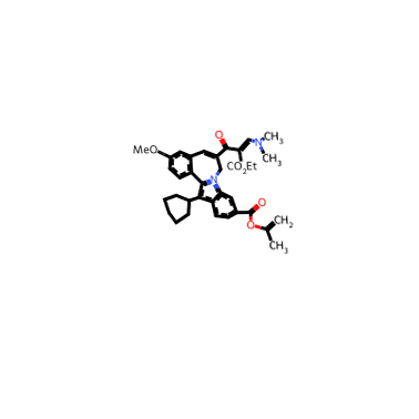 C=C(C)OC(=O)c1ccc2c(C3CCCCC3)c3n(c2c1)CC(C(=O)/C(=C/N(C)C)C(=O)OCC)=Cc1cc(OC)ccc1-3